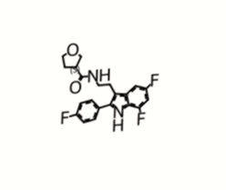 O=C(NCCc1c(-c2ccc(F)cc2)[nH]c2c(F)cc(F)cc12)[C@H]1CCOC1